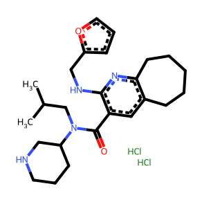 CC(C)CN(C(=O)c1cc2c(nc1NCc1ccco1)CCCCC2)C1CCCNC1.Cl.Cl